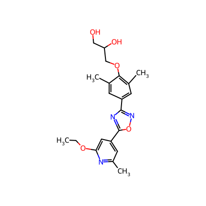 CCOc1cc(-c2nc(-c3cc(C)c(OCC(O)CO)c(C)c3)no2)cc(C)n1